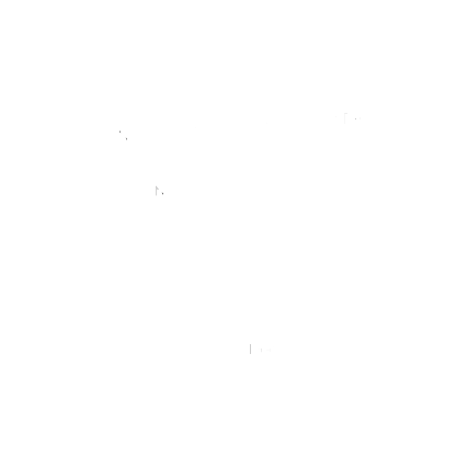 CCCCCCCCCCCCCCc1[nH]cc[n+]1CCCCCCCCCCCCCC